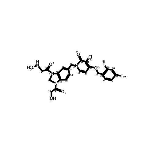 CNCC(=O)N1CN(C(=O)CO)c2ccc(Cn3ccc(OCc4ccc(F)cc4F)c(Cl)c3=O)cc21